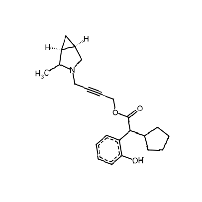 CC1[C@H]2C[C@H]2CN1CC#CCOC(=O)C(c1ccccc1O)C1CCCC1